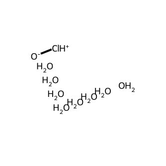 O.O.O.O.O.O.O.O.[O-][ClH+]